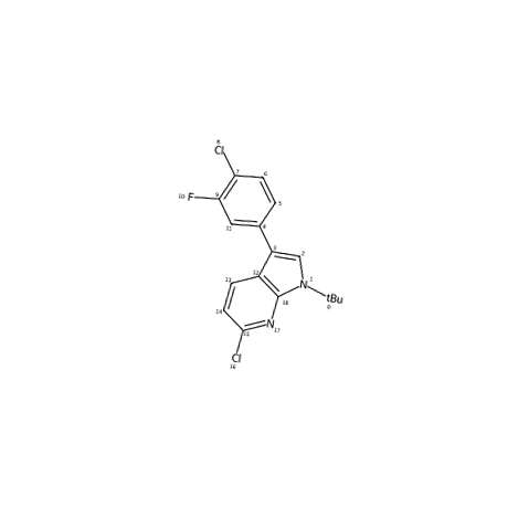 CC(C)(C)n1cc(-c2ccc(Cl)c(F)c2)c2ccc(Cl)nc21